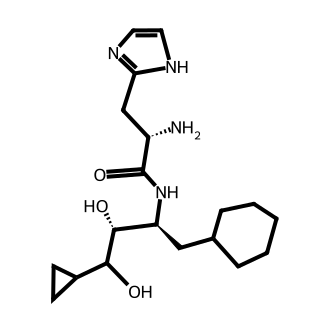 N[C@@H](Cc1ncc[nH]1)C(=O)N[C@@H](CC1CCCCC1)[C@@H](O)C(O)C1CC1